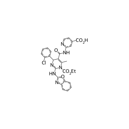 CCOC(=O)N1C(Nc2nc3ccccc3o2)=NC(c2ccccc2Cl)C(C(=O)Nc2cc(C(=O)O)ccn2)=C1C